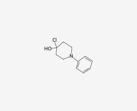 OC1(Cl)CCN(c2ccccc2)CC1